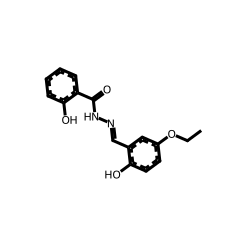 CCOc1ccc(O)c(C=NNC(=O)c2ccccc2O)c1